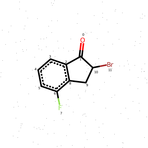 O=C1c2cccc(F)c2CC1Br